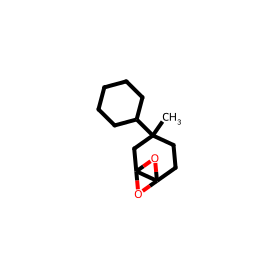 CC1(C2CCCCC2)CCC23OC2(C1)O3